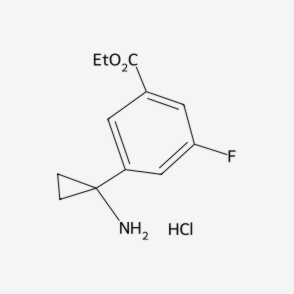 CCOC(=O)c1cc(F)cc(C2(N)CC2)c1.Cl